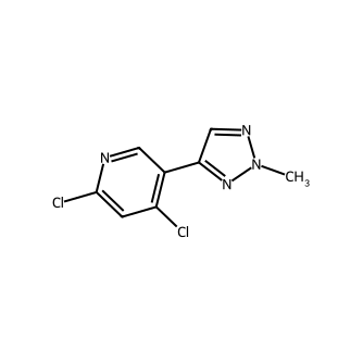 Cn1ncc(-c2cnc(Cl)cc2Cl)n1